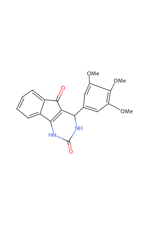 COc1cc(C2NC(=O)NC3=C2C(=O)c2ccccc23)cc(OC)c1OC